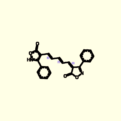 O=C1ON=C(c2ccccc2)/C1=C/C=C/C=C/c1c(-c2ccccc2)[nH]oc1=O